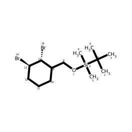 CC(C)(C)[Si](C)(C)OCC1CCC[C@@H](Br)[C@@H]1Br